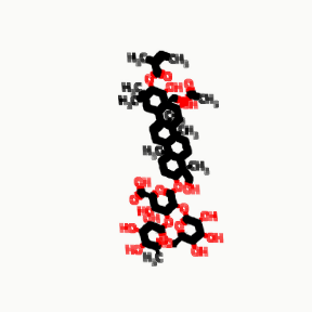 C/C=C(/C)C(=O)O[C@H]1[C@H](O)[C@@]2(COC(C)=O)C(CC1(C)C)C1=CCC3[C@@]4(C)CC[C@H](O[C@@H]5O[C@H](C(=O)O)[C@@H](O)[C@H](O[C@H]6O[C@H](C)[C@@H](O)[C@H](O)[C@@H]6O)[C@H]5O[C@@H]5O[C@H](CO)[C@H](O)[C@H](O)[C@H]5O)[C@](C)(CO)C4CC[C@@]3(C)[C@]1(C)C[C@H]2O